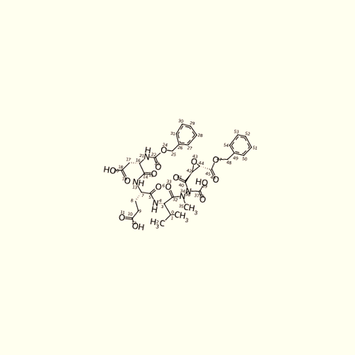 CC(C)[C@H](NC(=O)[C@H](CCC(=O)O)NC(=O)[C@H](CC(=O)O)NC(=O)OCc1ccccc1)C(=O)N(C)N(C(=O)O)C(=O)[C@H]1O[C@@H]1C(=O)OCc1ccccc1